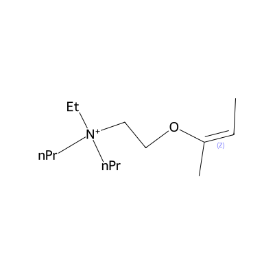 C/C=C(/C)OCC[N+](CC)(CCC)CCC